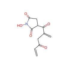 C=CC(=O)CC(=C)C(=O)C1CC(=O)N(O)C1=O